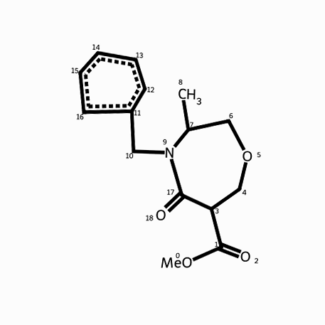 COC(=O)C1COCC(C)N(Cc2ccccc2)C1=O